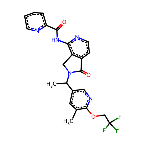 Cc1cc(C(C)N2Cc3c(ccnc3NC(=O)c3ccccn3)C2=O)cnc1OCC(F)(F)F